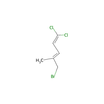 C/C(=C\C=C(Cl)Cl)CBr